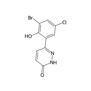 O=c1ccc(-c2cc(Cl)cc(Br)c2O)n[nH]1